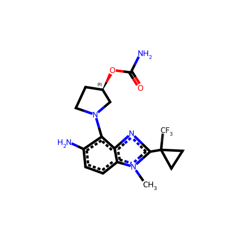 Cn1c(C2(C(F)(F)F)CC2)nc2c(N3CC[C@@H](OC(N)=O)C3)c(N)ccc21